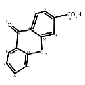 O=C(O)c1ccc2c(=O)c3ccccc3sc2c1